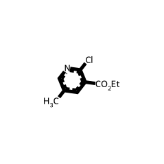 CCOC(=O)c1cc(C)cnc1Cl